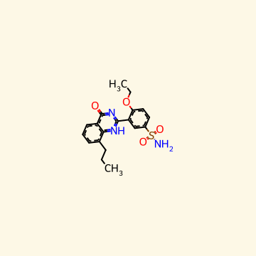 CCCc1cccc2c(=O)nc(-c3cc(S(N)(=O)=O)ccc3OCC)[nH]c12